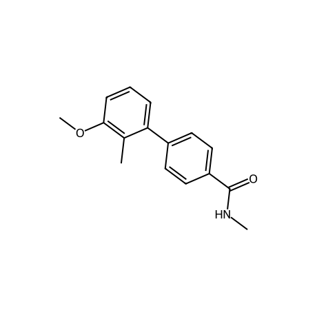 CNC(=O)c1ccc(-c2cccc(OC)c2C)cc1